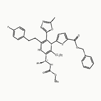 CCOC(=O)C1=C([C@@H](NC(=O)OC(C)(C)C)C(C)C)NC(CCc2ccc(F)cc2)=C(c2nnc(C)o2)C1c1ccc(C(=O)OCc2ccccc2)s1